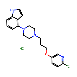 Cl.Clc1ccc(OCCCN2CCN(c3cccc4[nH]ccc34)CC2)cn1